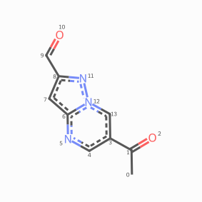 CC(=O)c1cnc2cc(C=O)nn2c1